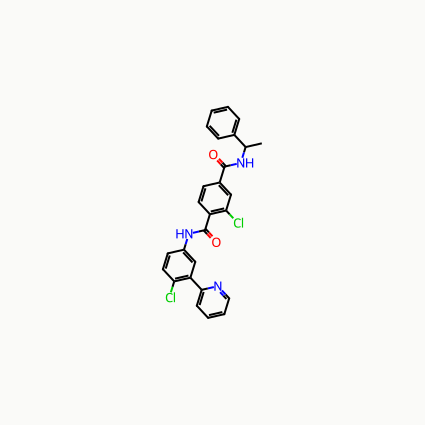 CC(NC(=O)c1ccc(C(=O)Nc2ccc(Cl)c(-c3ccccn3)c2)c(Cl)c1)c1ccccc1